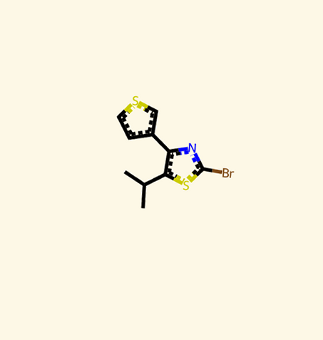 CC(C)c1sc(Br)nc1-c1ccsc1